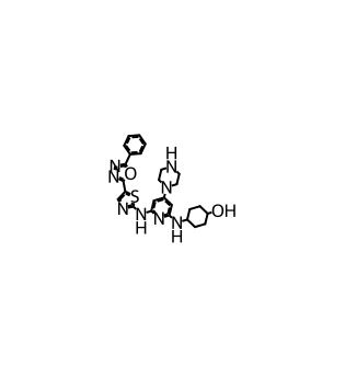 OC1CCC(Nc2cc(N3CCNCC3)cc(Nc3ncc(-c4nnc(-c5ccccc5)o4)s3)n2)CC1